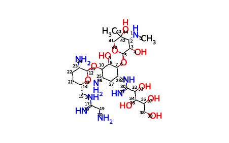 CN[C@@H]1C(O)[C@@H](OC2C(O)C(O[C@H]3O[C@H](CNC(=N)CN)CCC3N)[C@@H](N)C[C@H]2NC(=N)C(O)C(O)C(O)CO)OCC1(C)O